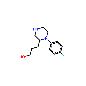 OCCCC1CNCCN1c1ccc(F)cc1